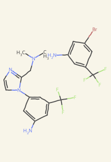 CN(C)Cc1nccn1-c1cc(N)cc(C(F)(F)F)c1.Nc1cc(Br)cc(C(F)(F)F)c1